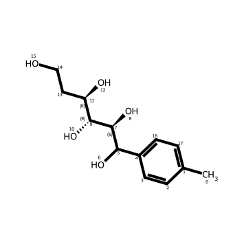 Cc1ccc(C(O)[C@H](O)[C@H](O)[C@H](O)CCO)cc1